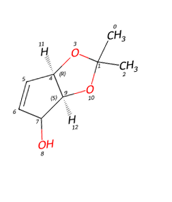 CC1(C)O[C@@H]2C=CC(O)[C@@H]2O1